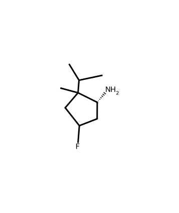 CC(C)C1(C)CC(F)C[C@H]1N